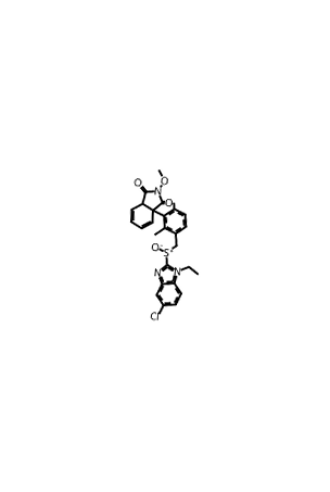 CCn1c([S+]([O-])Cc2ccc(C)c(C34C=CC=CC3C(=O)N(OC)C4=O)c2C)nc2cc(Cl)ccc21